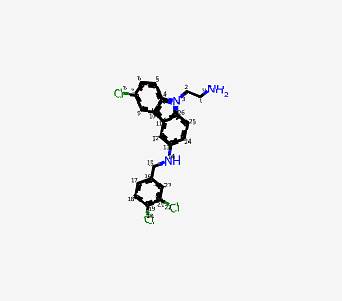 NCCn1c2ccc(Cl)cc2c2cc(NCc3ccc(Cl)c(Cl)c3)ccc21